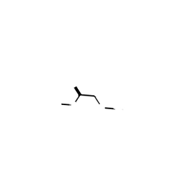 CCCCS[CH]C(=O)OCC